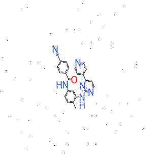 Cc1ccc(NC(=O)c2ccc(C#N)cc2)cc1Nc1nccc(-c2ccncc2)n1